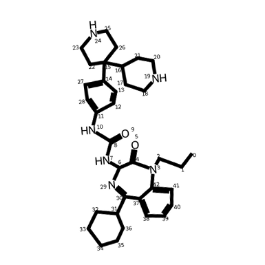 CCCN1C(=O)C(NC(=O)Nc2ccc(C3(C4CCNCC4)CCNCC3)cc2)N=C(C2CCCCC2)c2ccccc21